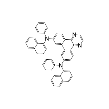 c1ccc(N(c2ccc3c(c2)c2cc(N(c4ccccc4)c4cccc5ccccc45)ccc2c2nccnc32)c2cccc3ccccc23)cc1